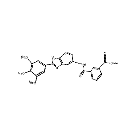 COC(=O)c1cccc(C(=O)Nc2ccc3[nH]c(-c4cc(OC)c(OC)c(OC)c4)nc3c2)c1